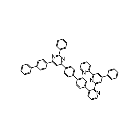 c1ccc(-c2ccc(-c3cc(-c4ccc(-c5ccc(-c6cccnc6-c6cc(-c7ccccc7)cc(-c7ccccn7)n6)cc5)cc4)nc(-c4ccccc4)n3)cc2)cc1